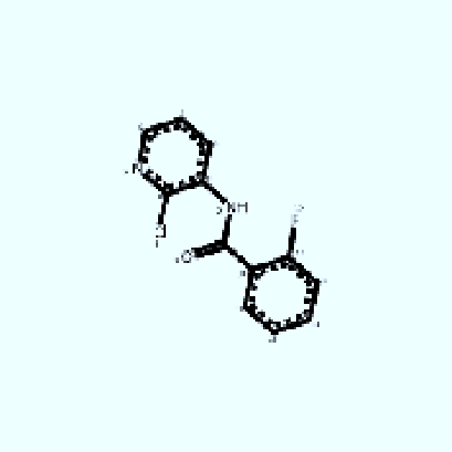 O=C(Nc1cccnc1Cl)c1ccccc1F